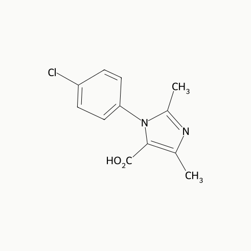 Cc1nc(C)n(-c2ccc(Cl)cc2)c1C(=O)O